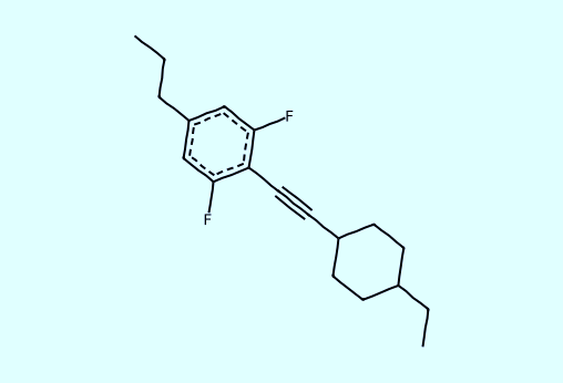 CCCc1cc(F)c(C#CC2CCC(CC)CC2)c(F)c1